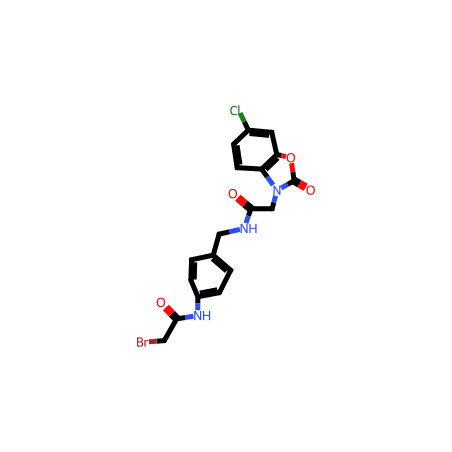 O=C(Cn1c(=O)oc2cc(Cl)ccc21)NCc1ccc(NC(=O)CBr)cc1